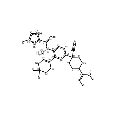 CC=C(OC)C1CCC(C#N)(c2ccc(N(N)C(=O)c3nc(C)c[nH]3)c(C3=CCC(C)(C)CC3)c2)CC1